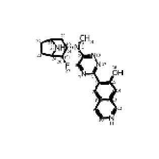 CN(c1cnc(-c2cc3ccncc3cc2O)nn1)[C@H]1CC2CCC(N2)[C@@H]1F